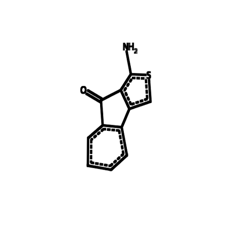 Nc1scc2c1C(=O)c1ccccc1-2